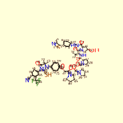 Cc1ncsc1-c1ccc(CNC(=O)C2C[C@@H](O)CN2C(=O)[C@@H](NC(=O)[C@@H]2CCCN2C(=O)[C@@H]2CCCN2C(=O)[C@@H]2CCCN2C(=O)COc2ccc(N3[C@@H](S)N(c4ccc(C#N)c(C(F)(F)F)c4)C(=O)C3(C)C)cc2)C(C)C)cc1